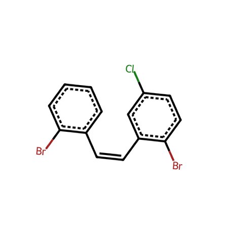 Clc1ccc(Br)c(/C=C\c2ccccc2Br)c1